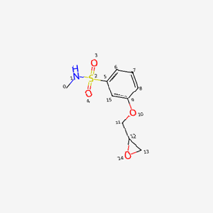 CNS(=O)(=O)c1cccc(OCC2CO2)c1